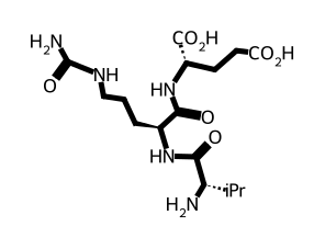 CC(C)[C@H](N)C(=O)N[C@@H](CCCNC(N)=O)C(=O)N[C@@H](CCC(=O)O)C(=O)O